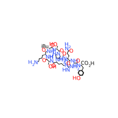 CC[C@H](C)[C@H](NC(=O)[C@H](CCCCN)NC(=O)[C@H](CO)NC(=O)[C@@H](N)CCCNC(=N)N)C(=O)N[C@@H](CO)C(=O)N1CCC[C@H]1C(=O)N[C@@H](CCC(N)=O)C(=O)NCC(=O)N[C@@H](Cc1ccc(O)cc1)C(=O)O